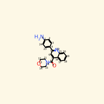 Nc1ccc(-c2cc(C(=O)N3CCOCC3)c3ccccc3n2)cc1